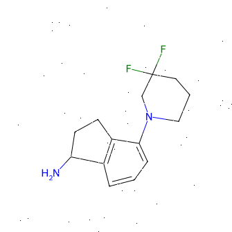 NC1CCc2c1cccc2N1CCCC(F)(F)C1